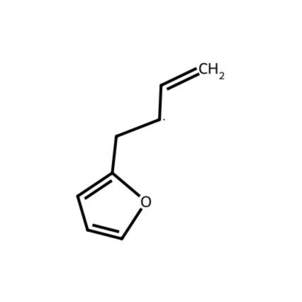 C=C[CH]Cc1ccco1